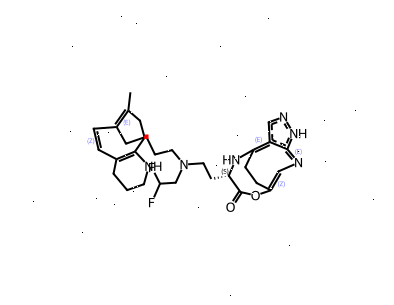 C/C1=C(CCCCN(CC[C@@H]2N\C3=c4/cn[nH]/c4=N/C=C(/CC3)OC2=O)CC(F)F)\C=C/C2=C(CC1)NCCC2